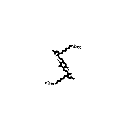 CCCCCCCCCCCCCCCCc1cc(C)sc1-c1cc2c(C)c3sc(-c4sc(C)cc4CCCCCCCCCCCCCCCC)cc3cc2s1